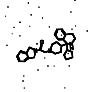 O=C(CN1CCC(C2(C3CCCC3)NCCc3ccccc32)CC1)N1Cc2ccccc2C1